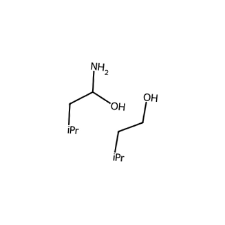 CC(C)CC(N)O.CC(C)CCO